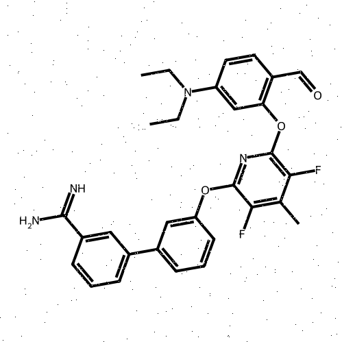 CCN(CC)c1ccc(C=O)c(Oc2nc(Oc3cccc(-c4cccc(C(=N)N)c4)c3)c(F)c(C)c2F)c1